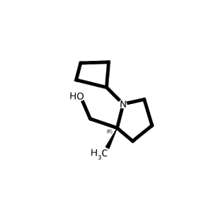 C[C@]1(CO)CCCN1C1CCC1